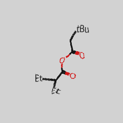 CCC(CC)C(=O)OC(=O)CC(C)(C)C